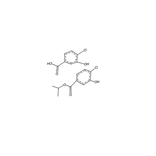 CC(C)OC(=O)c1ccc(Cl)c(O)c1.O=C(O)c1ccc(Cl)c(O)c1